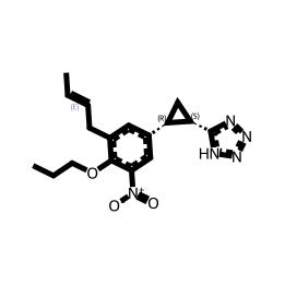 C/C=C/Cc1cc([C@@H]2C[C@@H]2c2nnn[nH]2)cc([N+](=O)[O-])c1OCCC